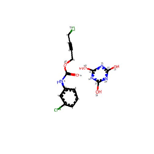 O=C(Nc1cccc(Cl)c1)OCC#CCCl.Oc1nc(O)nc(O)n1